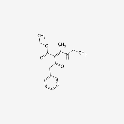 CCNC(C)=C(C(=O)Cc1ccccc1)C(=O)OCC